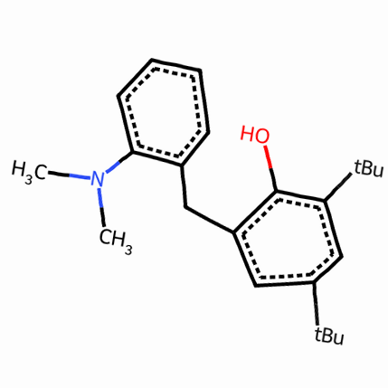 CN(C)c1ccccc1Cc1cc(C(C)(C)C)cc(C(C)(C)C)c1O